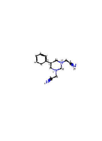 N#CCN1CC(C2C=CC=CC2)CN(CC#N)C1